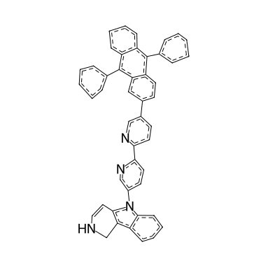 C1=Cc2c(c3ccccc3n2-c2ccc(-c3ccc(-c4ccc5c(-c6ccccc6)c6ccccc6c(-c6ccccc6)c5c4)cn3)nc2)CN1